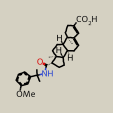 COc1cccc(C(C)(C)NC(=O)[C@H]2CC[C@H]3[C@@H]4CC=C5C=C(C(=O)O)CC[C@]5(C)[C@H]4CC[C@]23C)c1